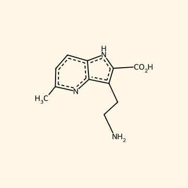 Cc1ccc2[nH]c(C(=O)O)c(CCN)c2n1